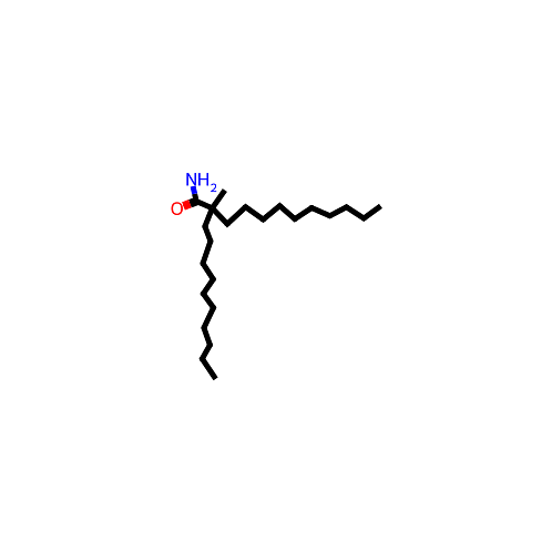 CCCCCCCCCCC(C)(CCCCCCCCCC)C(N)=O